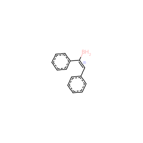 B/C(=C/c1ccccc1)c1ccccc1